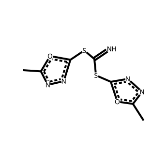 Cc1nnc(SC(=N)Sc2nnc(C)o2)o1